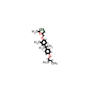 C=C(C)OC(CCl)COc1ccc(C(C)(C)c2ccc(OCC(COC(C)=O)OC(C)=O)cc2)cc1C